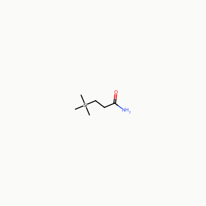 C[Si](C)(C)CCC(N)=O